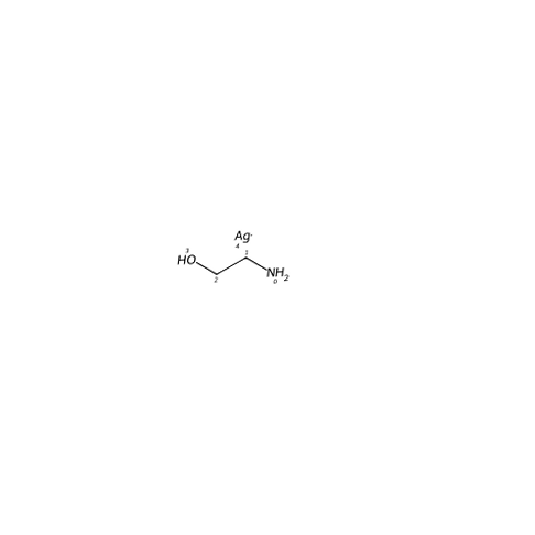 NCCO.[Ag]